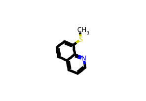 CSc1cccc2cccnc12